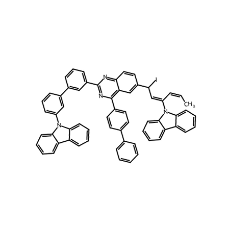 C/C=C\C(=C/C(I)c1ccc2nc(-c3cccc(-c4cccc(-n5c6ccccc6c6ccccc65)c4)c3)nc(-c3ccc(-c4ccccc4)cc3)c2c1)n1c2ccccc2c2ccccc21